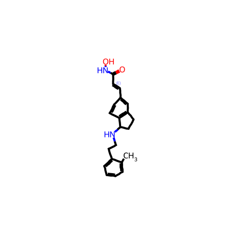 Cc1ccccc1CCNC1CCc2cc(/C=C/C(=O)NO)ccc21